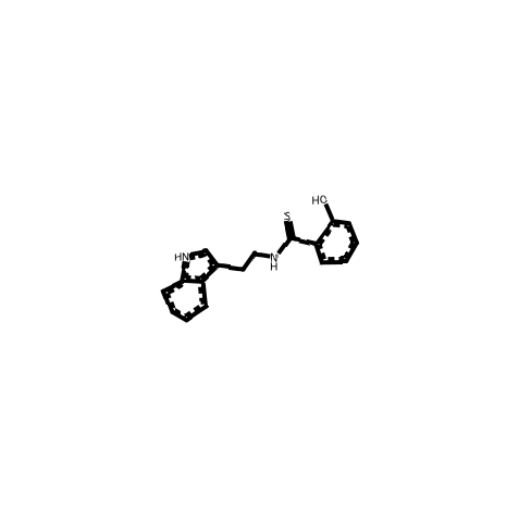 Oc1ccccc1C(=S)NCCc1c[nH]c2ccccc12